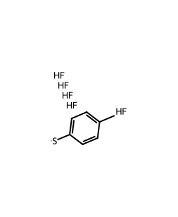 Cc1ccc([S])cc1.F.F.F.F.F